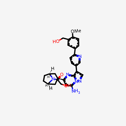 COc1ccc(-c2ccc(-c3cnn4c(N)cc([C@H]5C[C@H]6CC[C@@H](C5)N6C(=O)CO)nc34)cn2)cc1CO